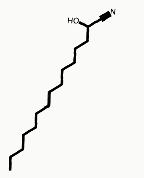 CCCCCCCCCCCCCC(O)C#N